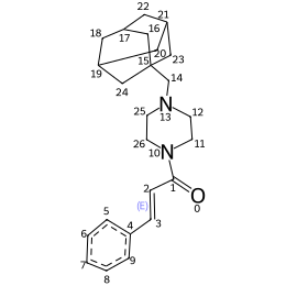 O=C(/C=C/c1ccccc1)N1CCN(CC23CC4CC(CC(C4)C2)C3)CC1